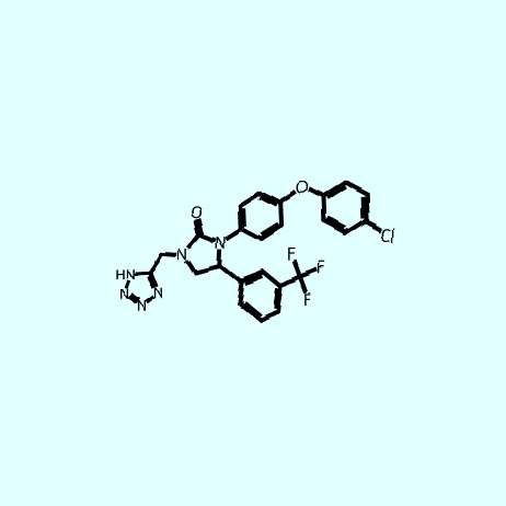 O=C1N(Cc2nnn[nH]2)CC(c2cccc(C(F)(F)F)c2)N1c1ccc(Oc2ccc(Cl)cc2)cc1